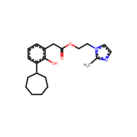 Cc1nccn1CCOC(=O)Cc1cccc(C2CCCCCC2)c1O